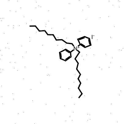 CCCCCCCCCC[N+](CCCCCCCCCC)(c1ccccc1)c1ccccc1.[I-]